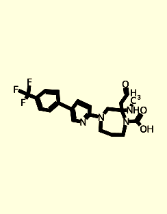 CNC1(CC=O)CN(c2ccc(-c3ccc(C(F)(F)F)cc3)cn2)CCCN1C(=O)O